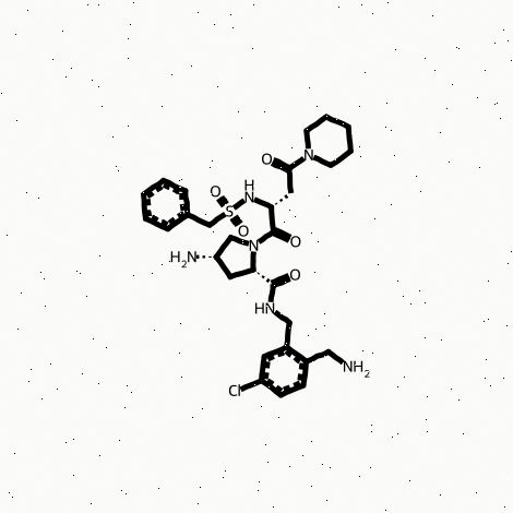 NCc1ccc(Cl)cc1CNC(=O)[C@@H]1C[C@H](N)CN1C(=O)[C@@H](CC(=O)N1CCCCC1)NS(=O)(=O)Cc1ccccc1